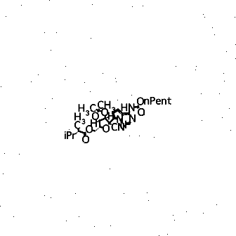 CCCCCOC(=O)Nc1ncnn2c([C@]3(C#N)O[C@H](COC(=O)[C@@H](C)C(C)C)[C@H]4OC(C)(C)O[C@H]43)ccc12